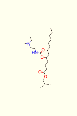 [CH2]C([CH2])COC(=O)CCCC(CCCCCCCC)OC(=O)NCCN(C)CC